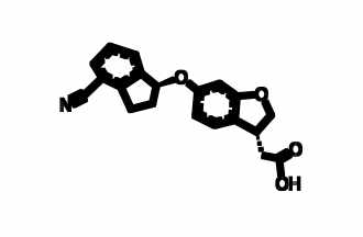 N#Cc1cccc2c1CC[C@@H]2Oc1ccc2c(c1)OC[C@@H]2CC(=O)O